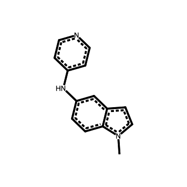 Cn1ccc2cc(Nc3ccncc3)ccc21